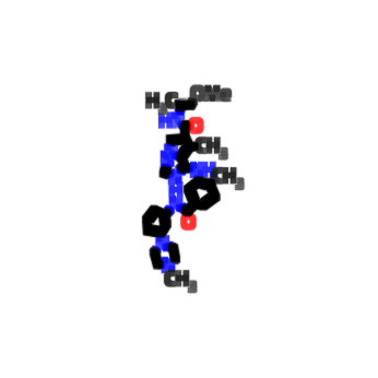 COC[C@H](C)NC(=O)c1cn2ncnc(Nc3cc(C(=O)Nc4cccc(N5CCN(C)CC5)c4)ccc3C)c2c1C